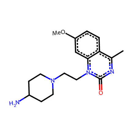 COc1ccc2c(C)nc(=O)n(CCN3CCC(N)CC3)c2c1